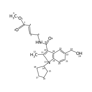 COC(=O)/C=C/CNC(=O)c1c(C)n(C2CCCC2)c2ccc(CO)cc12